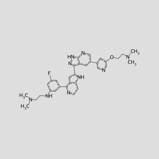 CN(C)CCNc1cc(F)cc(-c2nccc3[nH]c(-c4n[nH]c5ncc(-c6cncc(OCCN(C)C)c6)cc45)cc23)c1